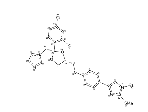 CCn1cc(-c2ccc(OC[C@@H]3CO[C@@](Cn4ccnc4)(c4ccc(Cl)cc4Cl)O3)cc2)nc1SC